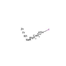 [CaH2].[Cu].[Fe].[KH].[MgH2].[NaH].[SeH]I.[Zn]